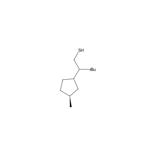 CCC(C)C(CS)C1CC[C@H](C)C1